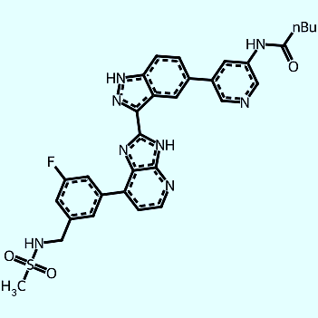 CCCCC(=O)Nc1cncc(-c2ccc3[nH]nc(-c4nc5c(-c6cc(F)cc(CNS(C)(=O)=O)c6)ccnc5[nH]4)c3c2)c1